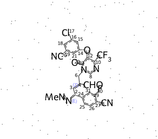 CN/N=C(\C=C(/C=O)Cn1cnc(C(F)(F)F)c(Oc2cc(Cl)cc(C#N)c2)c1=O)c1ccc(C#N)c(F)c1